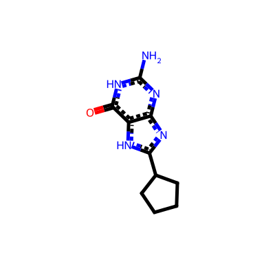 Nc1nc2nc(C3CCCC3)[nH]c2c(=O)[nH]1